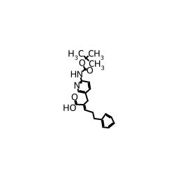 CC(C)(C)OC(=O)Nc1ccc(C/C(=C\CCc2ccccc2)C(=O)O)cn1